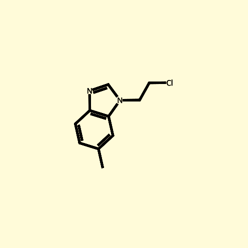 Cc1ccc2ncn(CCCl)c2c1